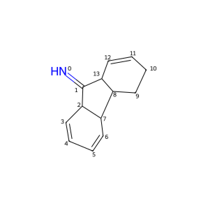 N=C1C2C=CC=CC2C2CCC=CC12